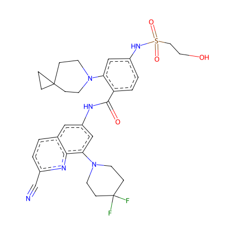 N#Cc1ccc2cc(NC(=O)c3ccc(NS(=O)(=O)CCO)cc3N3CCC4(CC3)CC4)cc(N3CCC(F)(F)CC3)c2n1